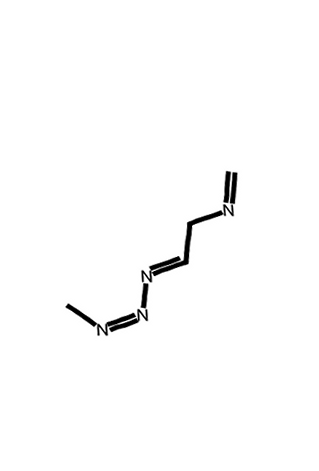 C=NC/C=N/N=N\C